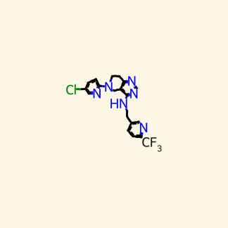 FC(F)(F)c1ccc(CCNc2ncnc3c2CN(c2ccc(Cl)cn2)CC3)cn1